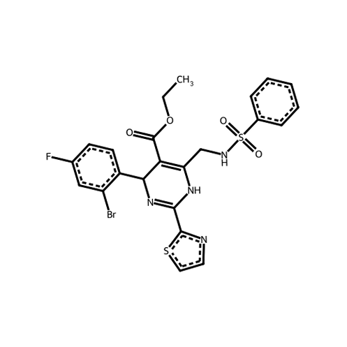 CCOC(=O)C1=C(CNS(=O)(=O)c2ccccc2)NC(c2nccs2)=NC1c1ccc(F)cc1Br